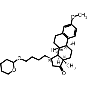 COc1ccc2c(c1)CC[C@H]1[C@@H]3[C@H](CCCCOC4CCCCO4)CC(=O)[C@@]3(C)CC[C@H]21